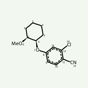 CO[C@H]1CCCC[C@H]1Oc1ccc(C#N)c(Cl)c1